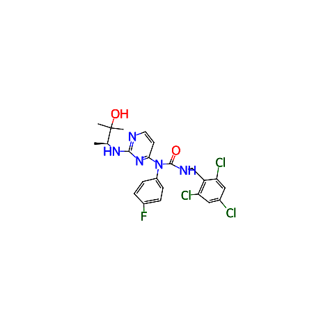 C[C@H](Nc1nccc(N(C(=O)NCc2c(Cl)cc(Cl)cc2Cl)c2ccc(F)cc2)n1)C(C)(C)O